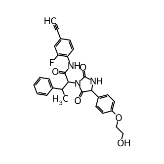 C#Cc1ccc(NC(=O)C(C(C)c2ccccc2)N2C(=O)NC(c3ccc(OCCO)cc3)C2=O)c(F)c1